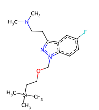 CN(C)CCc1nn(COCC[Si](C)(C)C)c2ccc(F)cc12